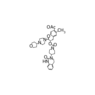 CC(=O)Oc1ccc(C[C@@H](OC(=O)N2CCC(N3CCc4ccccc4NC3=O)CC2)C(=O)N2CCN(C3CCOCC3)CC2)cc1C